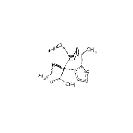 CCc1sccc1C(CC)(C(=O)O)C(=O)O